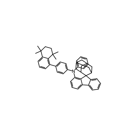 CC1(C)CCC(C)(C)c2c(-c3ccc(N(c4ccccc4)c4cccc5c4C4(c6ccccc6-5)C5CC6CC(C5)CC4C6)cc3)cccc21